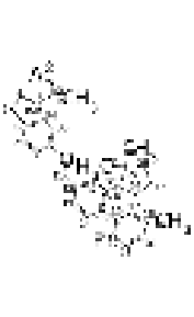 CC(=O)[C@@H](C)[C@@H]1CCc2ccc(OCc3ccc(-c4cc(C)ccc4F)c([C@H]4CCCC4(C)C)c3)cc21